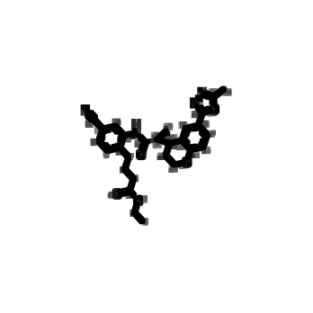 CCOC(=O)CCCc1ccc(C#N)cc1NC(=O)[C@@H]1C[C@]12CCOc1ccc(-c3nnc(C)o3)cc12